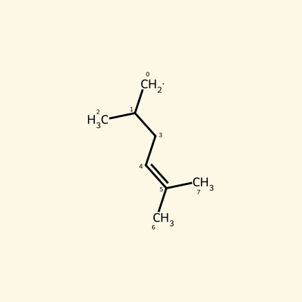 [CH2]C(C)CC=C(C)C